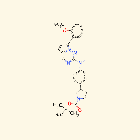 COc1ccccc1-c1ccc2cnc(Nc3ccc(C4CCN(C(=O)OC(C)(C)C)C4)cc3)nn12